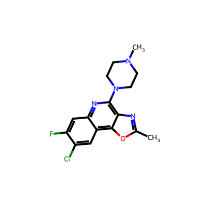 Cc1nc2c(N3CCN(C)CC3)nc3cc(F)c(Cl)cc3c2o1